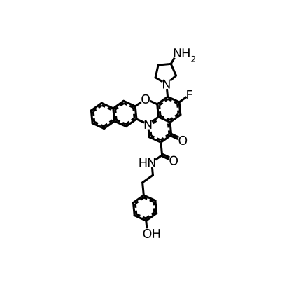 NC1CCN(c2c(F)cc3c(=O)c(C(=O)NCCc4ccc(O)cc4)cn4c3c2Oc2cc3ccccc3cc2-4)C1